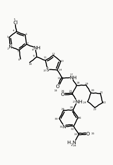 Cc1ncc(Cl)cc1NC(C)c1ccc(C(=O)NC(CC2CCCC2)C(=O)Nc2ccnc(C(N)=O)c2)s1